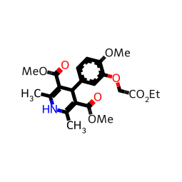 CCOC(=O)COc1cc(C2C(C(=O)OC)=C(C)NC(C)=C2C(=O)OC)ccc1OC